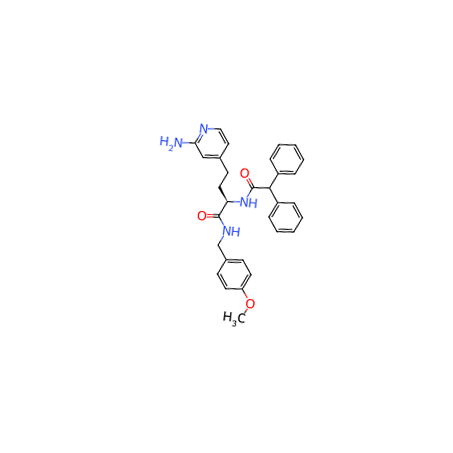 COc1ccc(CNC(=O)[C@@H](CCc2ccnc(N)c2)NC(=O)C(c2ccccc2)c2ccccc2)cc1